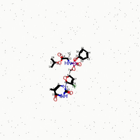 Cc1cn([C@@H]2O[C@H](COP(=O)(N[C@@H](C)C(=O)OC(C)C)Oc3ccccc3)C=C2F)c(=O)[nH]c1=O